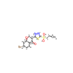 C=CCS(=O)(=O)c1nnc(-c2coc3cc(Br)ccc3c2=O)s1